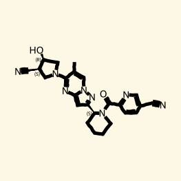 Cc1cn2nc([C@@H]3CCCCN3C(=O)c3ccc(C#N)cn3)cc2nc1N1C[C@@H](C#N)[C@@H](O)C1